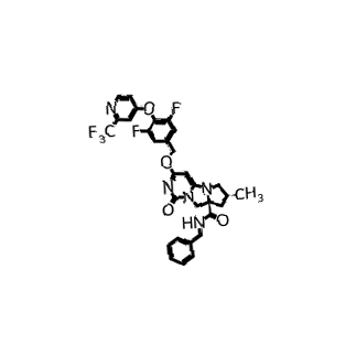 C[C@H]1CN2c3cc(OCc4cc(F)c(Oc5ccnc(C(F)(F)F)c5)c(F)c4)nc(=O)n3C[C@@]2(C(=O)NCc2ccccc2)C1